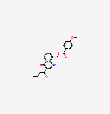 CCCC(=O)c1c[nH]c2c(COC(=O)c3ccc(OC)cc3)cccc2c1=O